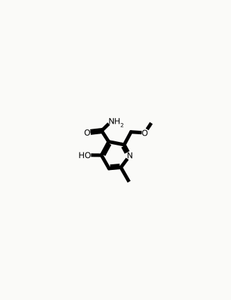 COCc1nc(C)cc(O)c1C(N)=O